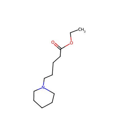 CCOC(=O)CCCCN1CCCCC1